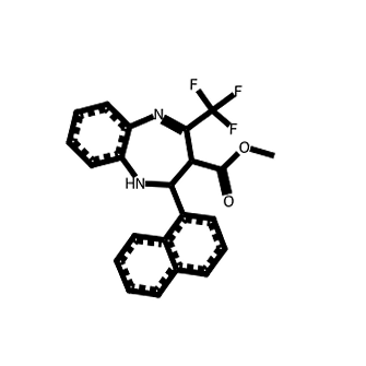 COC(=O)C1C(C(F)(F)F)=Nc2ccccc2NC1c1cccc2ccccc12